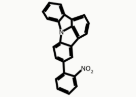 O=[N+]([O-])c1ccccc1-c1ccc2c(c1)c1cccc3c4ccccc4n2c31